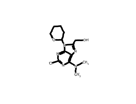 CN(C)c1nc(Cl)nc2c1nc(CO)n2C1CCCCO1